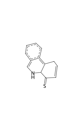 S=C1C=CCC2=c3ccccc3=CNC12